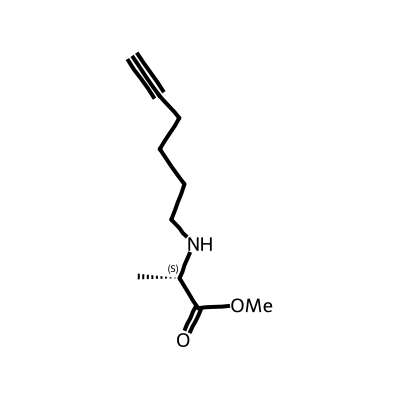 C#CCCCCN[C@@H](C)C(=O)OC